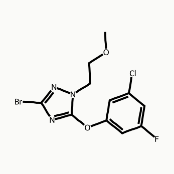 COCCn1nc(Br)nc1Oc1cc(F)cc(Cl)c1